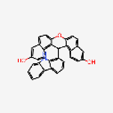 Oc1ccc2c3c(ccc2c1)Oc1ccc2cc(O)ccc2c1C3c1cccc2c1[nH]c1ccccc12